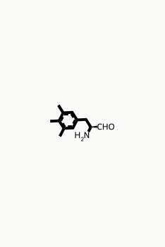 Cc1cc(C[C@H](N)C=O)cc(C)c1C